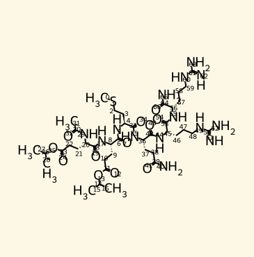 CSCC[C@H](NC(=O)[C@H](CCC(=O)OC(C)C)NC(=O)[C@H](CCC(=O)OC(C)C)NC(C)=O)C(=O)N[C@@H](CCC(N)=O)C(=O)N[C@@H](CCCNC(=N)N)C(=O)N[C@@H](CCCNC(=N)N)C(N)=O